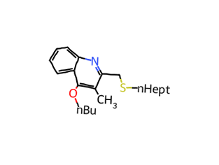 CCCCCCCSCc1nc2ccccc2c(OCCCC)c1C